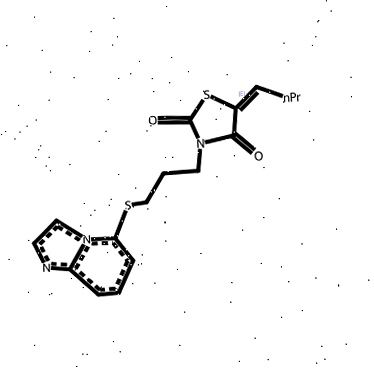 CCC/C=C1/SC(=O)N(CCCSc2cccc3nccn23)C1=O